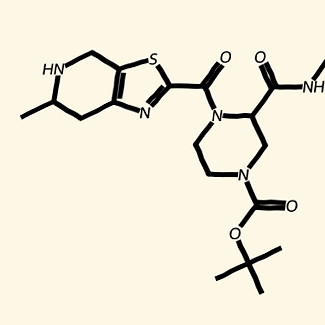 CNC(=O)C1CN(C(=O)OC(C)(C)C)CCN1C(=O)c1nc2c(s1)CNC(C)C2